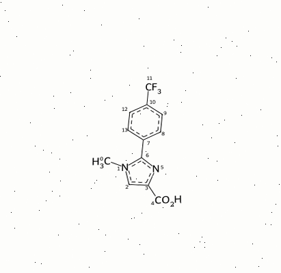 Cn1cc(C(=O)O)nc1-c1ccc(C(F)(F)F)cc1